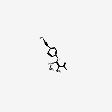 C=C(C)/C(N)=C(/NN)Oc1ccc(C#CC(C)C)cc1